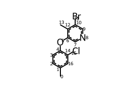 Cc1ccc(Oc2cncc(Br)c2C)c(Cl)c1